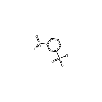 O=[SH](=O)c1cccc(S(=O)(=O)Cl)c1